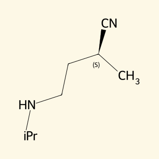 CC(C)NCC[C@H](C)C#N